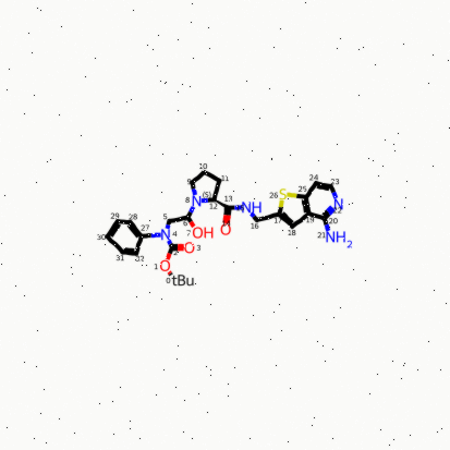 CC(C)(C)OC(=O)N(CC(O)N1CCC[C@H]1C(=O)NCc1cc2c(N)nccc2s1)c1ccccc1